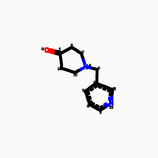 O=C1CCN(Cc2cccnc2)CC1